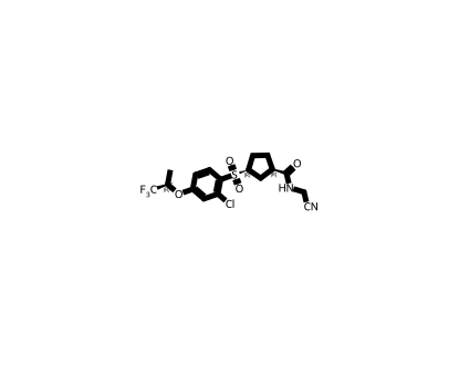 C[C@@H](Oc1ccc(S(=O)(=O)[C@@H]2CC[C@@H](C(=O)NCC#N)C2)c(Cl)c1)C(F)(F)F